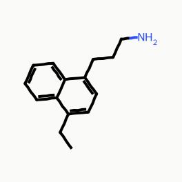 CCc1ccc(CCCN)c2ccccc12